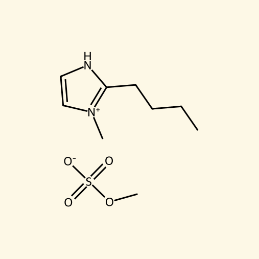 CCCCc1[nH]cc[n+]1C.COS(=O)(=O)[O-]